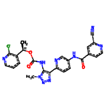 C[C@@H](OC(=O)Nc1c(-c2ccc(NC(=O)c3ccnc(C#N)c3)cn2)nnn1C)c1cccnc1Cl